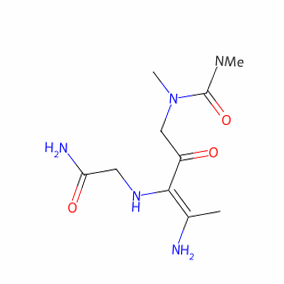 CNC(=O)N(C)CC(=O)/C(NCC(N)=O)=C(\C)N